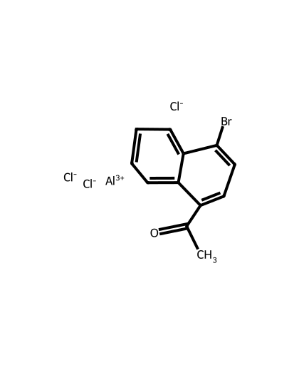 CC(=O)c1ccc(Br)c2ccccc12.[Al+3].[Cl-].[Cl-].[Cl-]